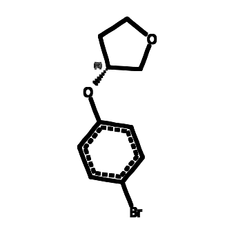 Brc1ccc(O[C@@H]2CCOC2)cc1